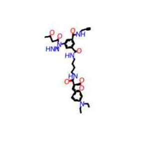 C#CCNC(=O)c1cc(C(=O)NCCCCNC(=O)c2cc3ccc(N(CC)CC)cc3oc2=O)cc(N(N=N)C(=O)CC(C)=O)c1